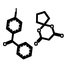 O=C(c1ccccc1)c1ccc(I)cc1.O=C1CC(=O)OC2(CCCC2)O1